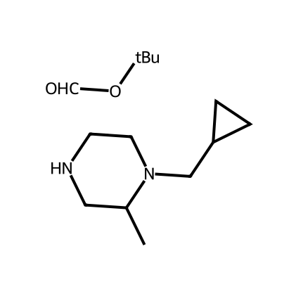 CC(C)(C)OC=O.CC1CNCCN1CC1CC1